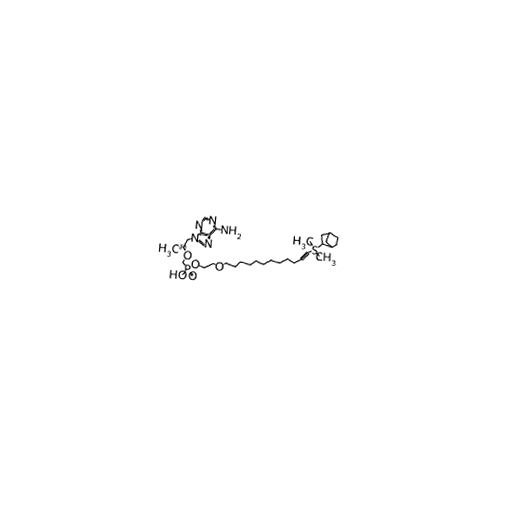 C[C@H](Cn1cnc2c(N)ncnc21)OCP(=O)(O)OCCOCCCCCCCCCCC#CS(C)(C)C1CC2CCC1C2